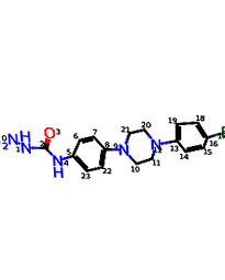 NNC(=O)Nc1ccc(N2CCN(c3ccc(Br)cc3)CC2)cc1